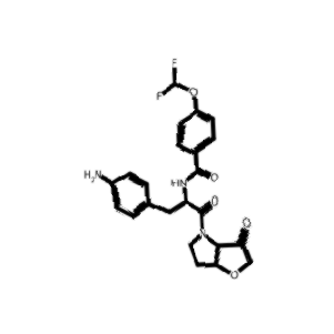 Nc1ccc(CC(NC(=O)c2ccc(OC(F)F)cc2)C(=O)N2CCC3OCC(=O)C32)cc1